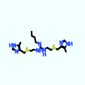 CCCCN=C(NCCSCc1nc[nH]c1C)NCCSCc1nc[nH]c1C